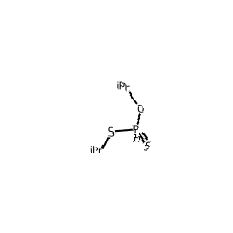 CC(C)O[PH](=S)SC(C)C